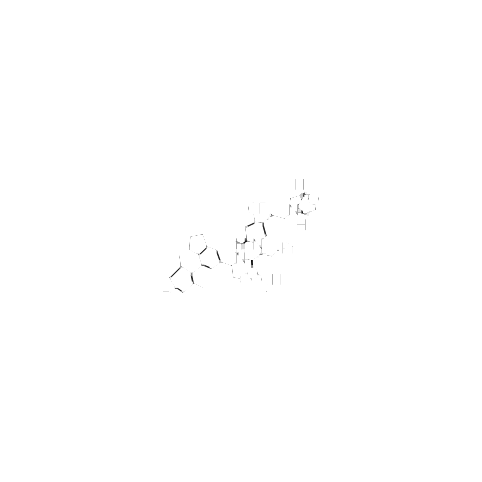 Cc1cc(F)cc(C)c1-c1cc(C(CC(=O)O)NC(=O)[C@H](CC(C)C)n2cc(CCN3C[C@H]4C[C@@H]3CO4)c(C(F)(F)F)cc2=O)cc2c1CCC2